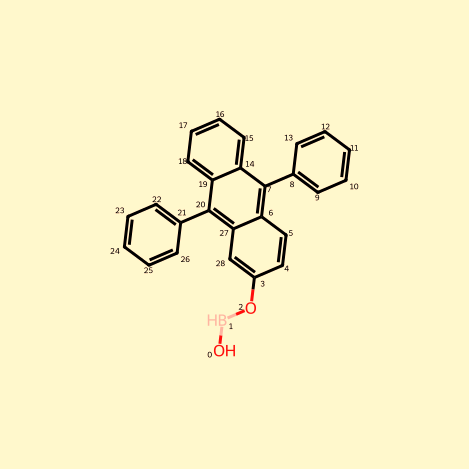 OBOc1ccc2c(-c3ccccc3)c3ccccc3c(-c3ccccc3)c2c1